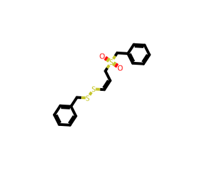 O=S(=O)(C/C=C\SSCc1ccccc1)Cc1ccccc1